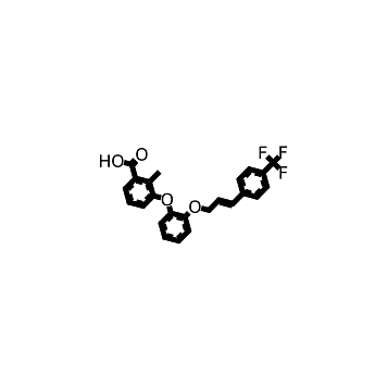 Cc1c(Oc2ccccc2OC/C=C/c2ccc(C(F)(F)F)cc2)cccc1C(=O)O